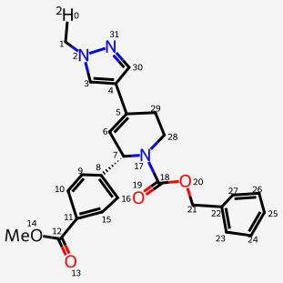 [2H]Cn1cc(C2=C[C@@H](c3ccc(C(=O)OC)cc3)N(C(=O)OCc3ccccc3)CC2)cn1